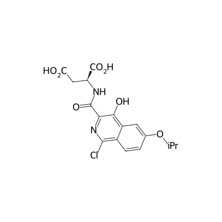 CC(C)Oc1ccc2c(Cl)nc(C(=O)N[C@@H](CC(=O)O)C(=O)O)c(O)c2c1